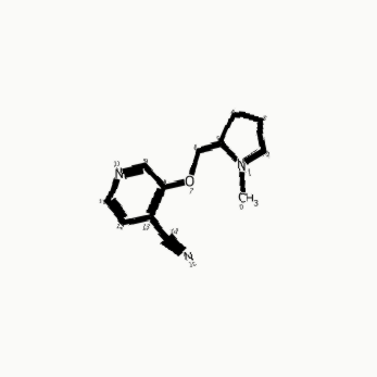 CN1CCCC1COc1cnccc1C#N